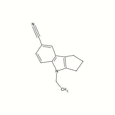 CCn1c2c(c3cc(C#N)ccc31)CCC2